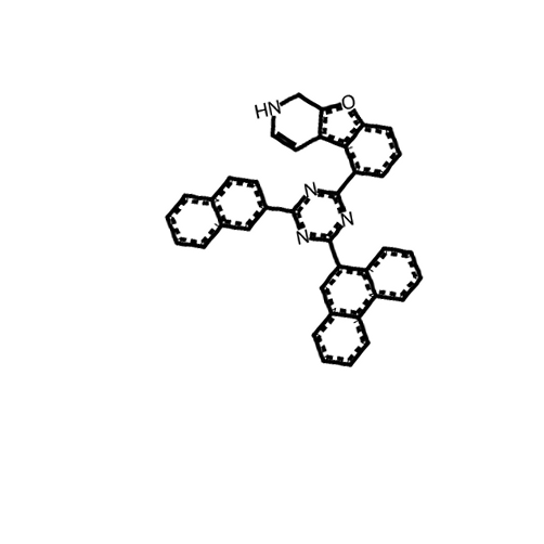 C1=Cc2c(oc3cccc(-c4nc(-c5ccc6ccccc6c5)nc(-c5cc6ccccc6c6ccccc56)n4)c23)CN1